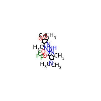 COc1cc2nc(Nc3nc(OC(=O)C(F)(F)F)c4cc(N(C)C)cc(C)c4n3)nc(C)c2cc1OC